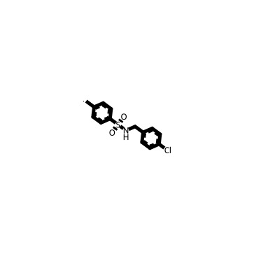 [CH2]c1ccc(S(=O)(=O)NCc2ccc(Cl)cc2)cc1